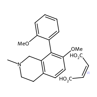 COc1ccccc1-c1c(OC)ccc2c1CN(C)CC2.O=C(O)/C=C\C(=O)O